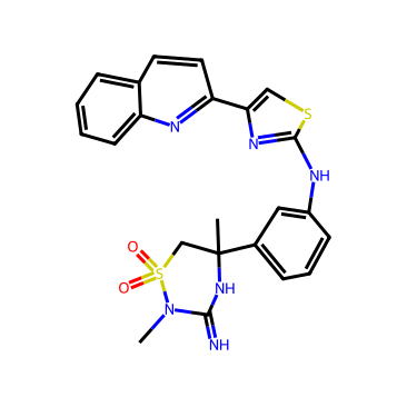 CN1C(=N)NC(C)(c2cccc(Nc3nc(-c4ccc5ccccc5n4)cs3)c2)CS1(=O)=O